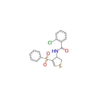 O=C(NC1CSC=C1S(=O)(=O)c1ccccc1)c1ccccc1Cl